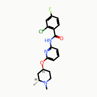 C[C@@H]1C[C@@H](Oc2cccc(NC(=O)c3ccc(F)cc3Cl)n2)CCN1C